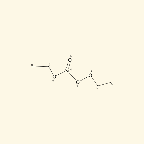 CCOO[Si](=O)OCC